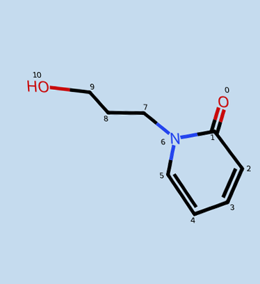 O=c1ccccn1CCCO